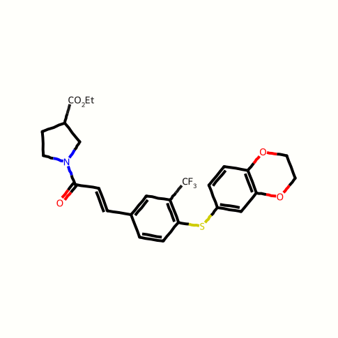 CCOC(=O)C1CCN(C(=O)C=Cc2ccc(Sc3ccc4c(c3)OCCO4)c(C(F)(F)F)c2)C1